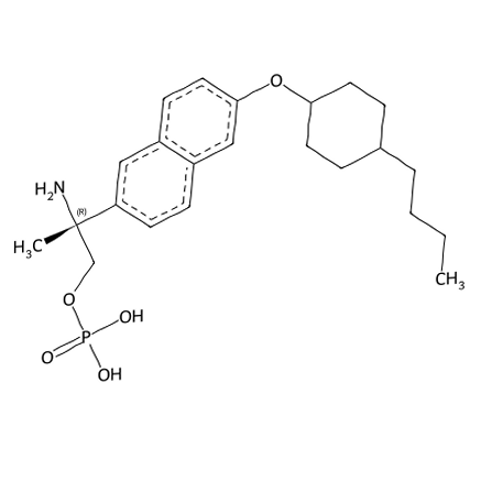 CCCCC1CCC(Oc2ccc3cc([C@@](C)(N)COP(=O)(O)O)ccc3c2)CC1